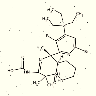 CC[Si](CC)(CC)c1cc(Br)nc([C@@]2(C)N=C(NC(=O)O)C(C)(C)[SH]3(=O)NCCC[C@H]23)c1F